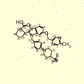 Cc1cnc(COc2ccc3nc([C@H]4CCCC[C@H]4C(=O)O)n(Cc4ccc(N5CCC(C(F)(F)F)CC5)cc4)c3c2)cn1